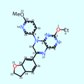 CCOc1ncc2c(n1)N(c1ccc(OC)nc1)CC(C1=CC3OCCC3C=C1)=N2